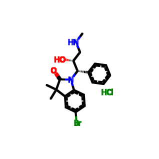 CNC[C@@H](O)[C@H](c1ccccc1)N1C(=O)C(C)(C)c2cc(Br)ccc21.Cl